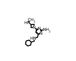 CNC1CN(c2cc(CNCC3CCCCC3)nc(N)n2)C1